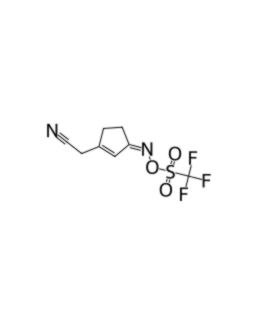 N#CCC1=CC(=NOS(=O)(=O)C(F)(F)F)CC1